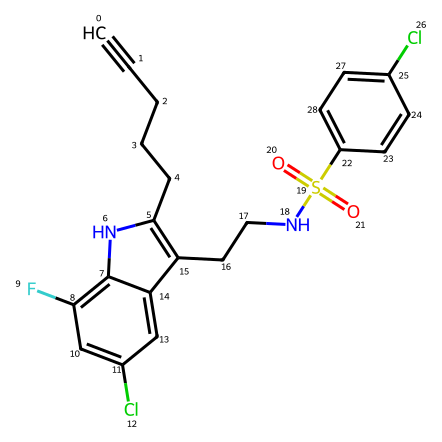 C#CCCCc1[nH]c2c(F)cc(Cl)cc2c1CCNS(=O)(=O)c1ccc(Cl)cc1